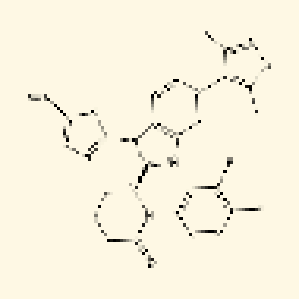 CNc1cnc(-n2c([C@@H]3CCCC(=O)N3c3ccc(F)c(F)c3)nc3cc(-c4c(C)noc4C)ccc32)s1